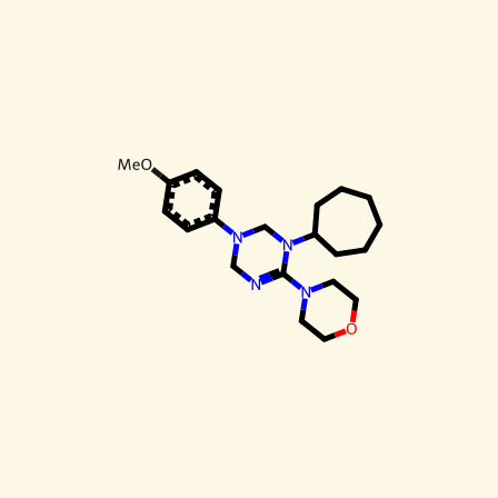 COc1ccc(N2CN=C(N3CCOCC3)N(C3CCCCCC3)C2)cc1